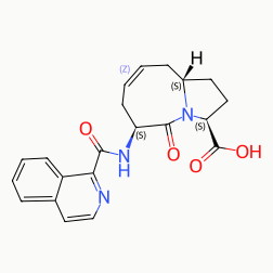 O=C(N[C@H]1C/C=C\C[C@@H]2CC[C@@H](C(=O)O)N2C1=O)c1nccc2ccccc12